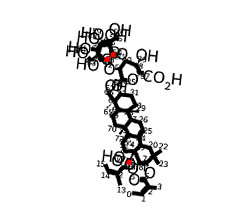 C/C=C(/C)C(=O)O[C@H]1[C@H](OC(=O)/C(C)=C\C)[C@@]2(CO)C(CC1(C)C)C1=CCC3[C@@]4(C)CC[C@H](O[C@@H]5OC(C(=O)O)[C@@H](O)C(OC6O[C@@H](CO)[C@@H](O)C6O)[C@@H]5O[C@@H]5OC(CO)[C@@H](O)C(O)[C@@H]5O)[C@](C)(CO)C4CC[C@@]3(C)[C@]1(C)C[C@H]2O